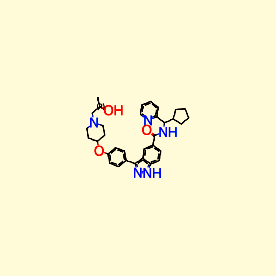 C[C@@H](O)CN1CCC(Oc2ccc(-c3n[nH]c4ccc(C(=O)NC(c5ccccn5)C5CCCC5)cc34)cc2)CC1